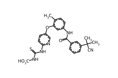 Cc1ccc(NC(=O)c2cccc(C(C)(C)C#N)c2)cc1Oc1ccc(NC(=S)NC(=O)O)nc1